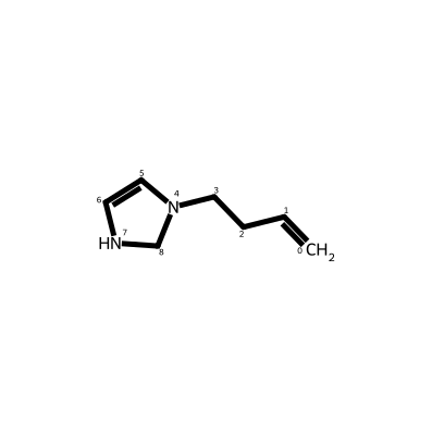 C=CCCN1C=CNC1